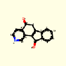 O=C1CC2=C(C(=O)c3ccccc32)c2cnccc21